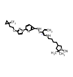 C=C/C(=C\NCCCCC1CB(C#N)C(C)(C)C1)SNC1c2ccc(-n3ccc(OCCC4(C(F)(F)F)CC4)n3)nc21